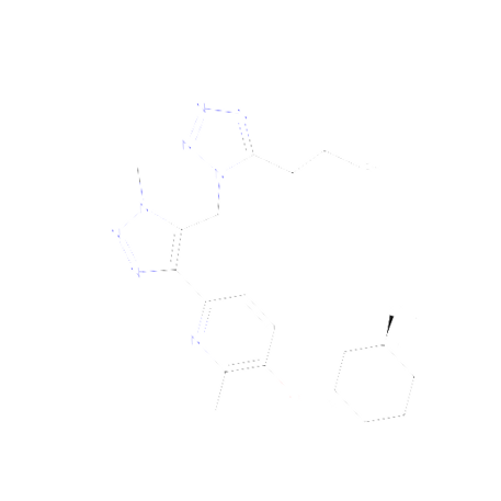 Cc1nc(-c2nnn(C)c2Cn2nnnc2CCC(C)C)ccc1O[C@H]1CCC[C@H](C(=O)O)C1